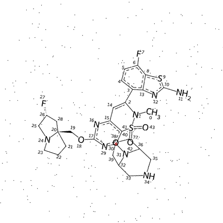 CN1C(c2ccc(F)c3sc(N)nc23)=Cc2nc(OC[C@@]34CCCN3C[C@H](F)C4)nc(N3C4CNCC3COC4)c2S1(=O)=O